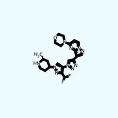 C[C@H]1CC(n2cc(-n3cc(-c4cnn5ccc(N6CCOCC6)nc45)nn3)c(C(F)F)n2)CCN1